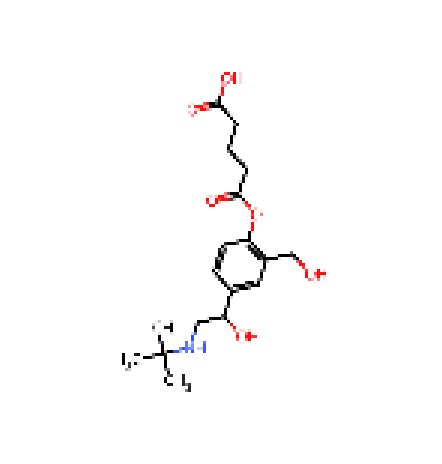 CC(C)(C)NCC(O)c1ccc(OC(=O)CCCC(=O)O)c(CO)c1